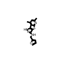 Cc1cc(C)c2c(n1)sc1c(NCc3ccco3)n[nH]c12